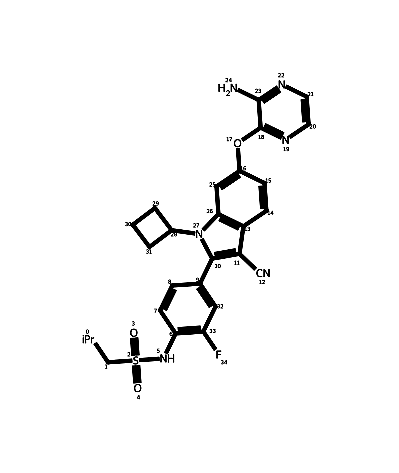 CC(C)CS(=O)(=O)Nc1ccc(-c2c(C#N)c3ccc(Oc4nccnc4N)cc3n2C2CCC2)cc1F